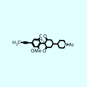 CC#Cc1cc(C)c(C2C(=O)CC(C3CCN(C(C)=O)CC3)CC2=O)c(OC)c1